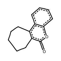 O=c1oc2c[c]ccc2c2c1CCCCC2